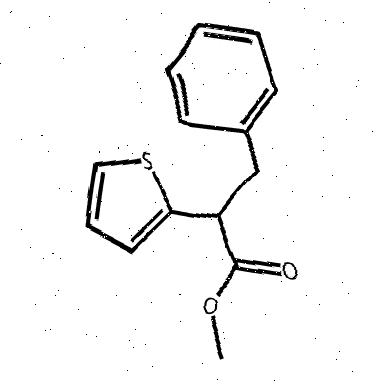 COC(=O)C(Cc1ccccc1)c1cccs1